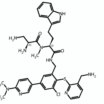 CN(C)c1ccc(-c2cc(Cl)c(Sc3ncccc3CN)c(CNC(=O)[C@H](CCc3c[nH]c4ccccc34)N(C)C(=O)[C@@H](N)CN)c2)cn1